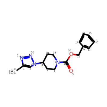 CC(C)(C)c1cn(C2CCN(C(=O)OCc3ccccc3)CC2)nn1